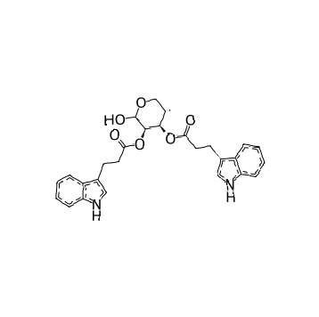 O=C(CCc1c[nH]c2ccccc12)O[C@@H]1[CH]COC(O)[C@@H]1OC(=O)CCc1c[nH]c2ccccc12